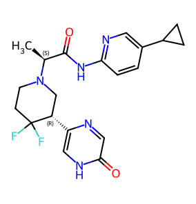 C[C@@H](C(=O)Nc1ccc(C2CC2)cn1)N1CCC(F)(F)[C@@H](c2c[nH]c(=O)cn2)C1